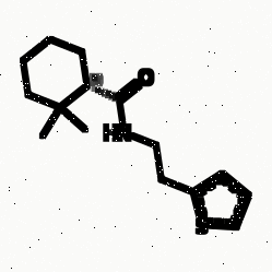 CC1(C)CCCC[C@@H]1C(=O)NCCc1cccs1